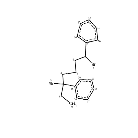 CCC(Br)(CCCC(Br)c1ccccc1)c1ccccc1